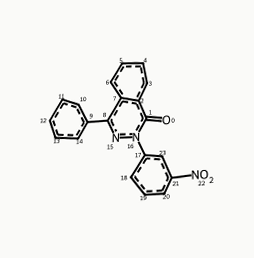 O=c1c2ccccc2c(-c2ccccc2)nn1-c1cccc([N+](=O)[O-])c1